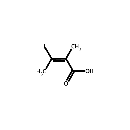 CC(I)=C(C)C(=O)O